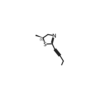 CCC#CC1=NC[C@H](C)S1